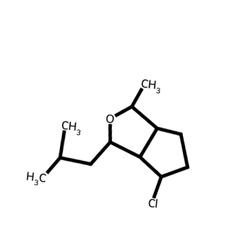 CC(C)CC1OC(C)C2CCC(Cl)C12